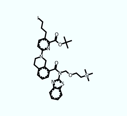 CC(C)(C)OC(=O)c1nc(N2CCc3cccc(C(=O)N(COCC[Si](C)(C)C)c4nc5ccccc5s4)c3C2)ccc1CCCI